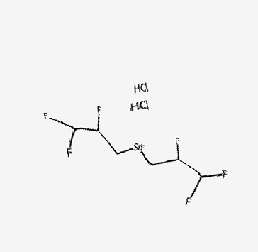 Cl.Cl.FC(F)C(F)[CH2][Sn][CH2]C(F)C(F)F